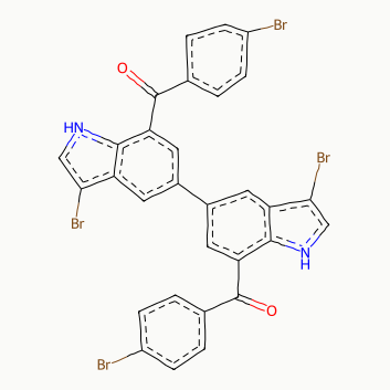 O=C(c1ccc(Br)cc1)c1cc(-c2cc(C(=O)c3ccc(Br)cc3)c3[nH]cc(Br)c3c2)cc2c(Br)c[nH]c12